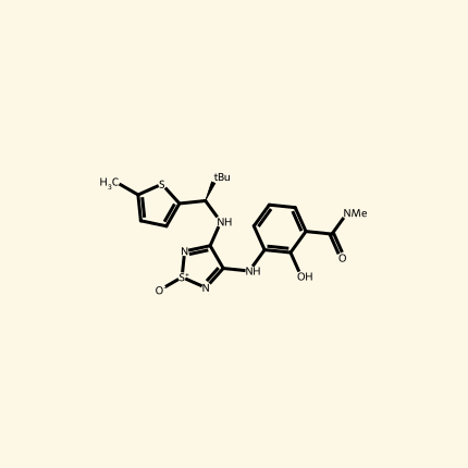 CNC(=O)c1cccc(Nc2n[s+]([O-])nc2N[C@@H](c2ccc(C)s2)C(C)(C)C)c1O